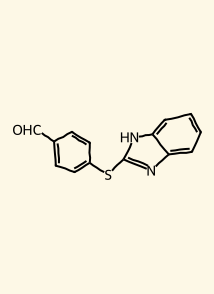 O=Cc1ccc(Sc2nc3ccccc3[nH]2)cc1